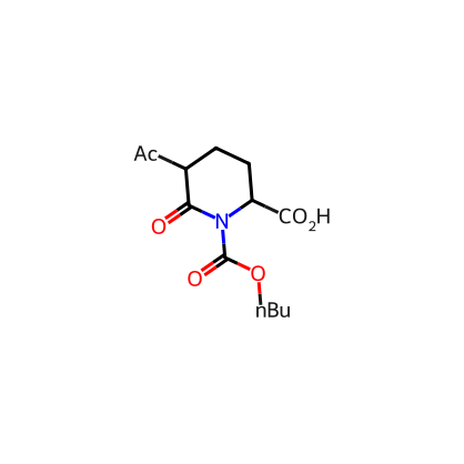 CCCCOC(=O)N1C(=O)C(C(C)=O)CCC1C(=O)O